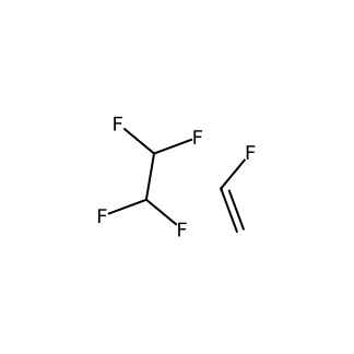 C=CF.FC(F)C(F)F